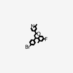 Cc1cc(C(=O)CC(c2ccc(Br)cc2)c2ccc(F)cc2C)ccn1